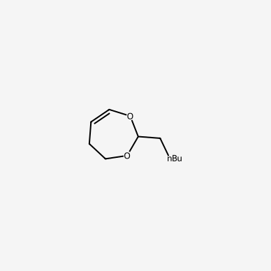 CCCCCC1OC=CCCO1